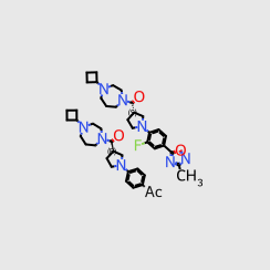 CC(=O)c1ccc(N2CC[C@@H](C(=O)N3CCCN(C4CCC4)CC3)C2)cc1.Cc1noc(-c2ccc(N3CC[C@H](C(=O)N4CCCN(C5CCC5)CC4)C3)c(F)c2)n1